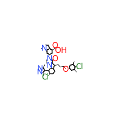 Cc1cc(OCCCc2c3n(c4c(-c5c(C)nn(C)c5C)c(Cl)ccc24)CCN(c2cc(C(=O)O)c4ccn(C)c4c2)C3=O)cc(C)c1Cl